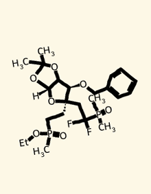 CCOP(C)(=O)CC[C@]1(CC(F)(F)P(C)(C)=O)O[C@@H]2OC(C)(C)OC2[C@H]1OCc1ccccc1